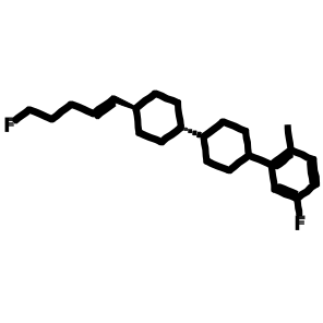 Cc1ccc(F)cc1C1CCC([C@H]2CC[C@H](/C=C/CCCF)CC2)CC1